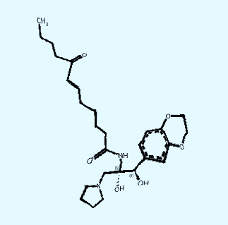 CCCCC(=O)CCCCCCC(=O)N[C@](O)(CN1CCCC1)[C@H](O)c1ccc2c(c1)OCCO2